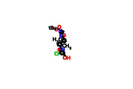 Cc1c(-c2nc3c(o2)CCN(C(=O)OC(C)(C)C)C3)cccc1-c1cccc(-c2nc3cc(CO)cc(Cl)c3o2)c1C